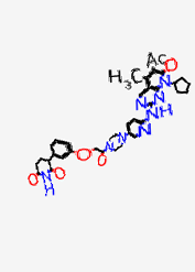 CC(=O)c1c(C)c2cnc(Nc3ccc(N4CCN(C(=O)COc5cccc(C6CCC(=O)NC6=O)c5)CC4)cn3)nc2n(C2CCCC2)c1=O